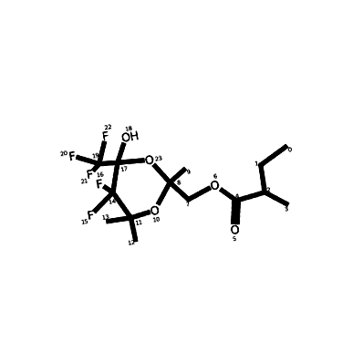 CCC(C)C(=O)OCC1(C)OC(C)(C)C(F)(F)C(O)(C(F)(F)F)O1